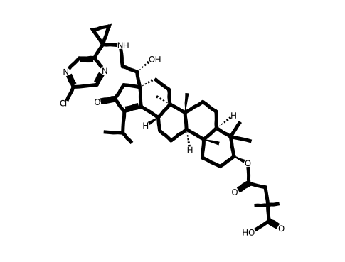 CC(C)C1=C2[C@H]3CC[C@@H]4[C@@]5(C)CC[C@H](OC(=O)CC(C)(C)C(=O)O)C(C)(C)[C@@H]5CC[C@@]4(C)[C@]3(C)CC[C@@]2([C@@H](O)CNC2(c3cnc(Cl)cn3)CC2)CC1=O